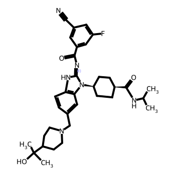 CC(C)NC(=O)[C@H]1CC[C@@H](n2/c(=N/C(=O)c3cc(F)cc(C#N)c3)[nH]c3ccc(CN4CCC(C(C)(C)O)CC4)cc32)CC1